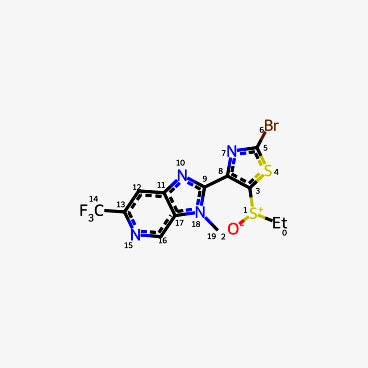 CC[S+]([O-])c1sc(Br)nc1-c1nc2cc(C(F)(F)F)ncc2n1C